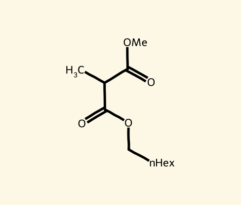 CCCCCCCOC(=O)C(C)C(=O)OC